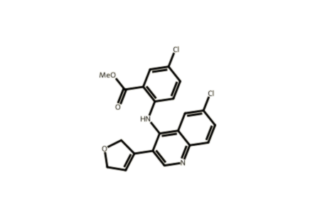 COC(=O)c1cc(Cl)ccc1Nc1c(C2=CCOC2)cnc2ccc(Cl)cc12